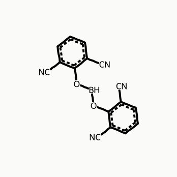 N#Cc1cccc(C#N)c1OBOc1c(C#N)cccc1C#N